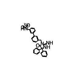 CS(=O)(=O)Nc1cccc(-c2cccc(CN3C(=N)NC(c4ccccc4)(c4ccccc4)C3=O)c2)c1